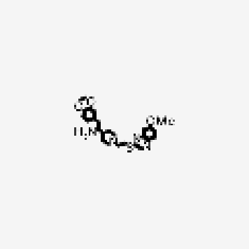 COc1ccc2ncc(SCCN3CCC(C(N)Cc4ccc5c(c4)OCCO5)CC3)nc2c1